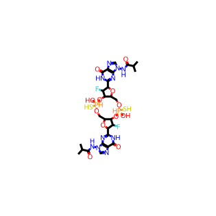 CC(C)C(=O)Nn1cnc2c(=O)[nH]c(C3OC4CO[PH](O)(S)OC5C(CO[PH](O)(S)OC4C3F)OC(c3nc4c(ncn4NC(=O)C(C)C)c(=O)[nH]3)C5F)nc21